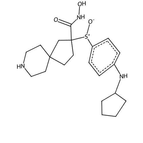 O=C(NO)C1([S+]([O-])c2ccc(NC3CCCC3)cc2)CCC2(CCNCC2)C1